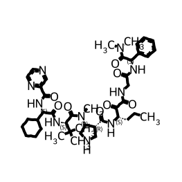 CCC[C@H](NC(=O)[C@@H]1CNC[C@@H]1N(C)C(=O)[C@@H](NC(=O)[C@@H](NC(=O)c1cnccn1)C1CCCCC1)C(C)(C)C)C(=O)C(=O)NCC(=O)N[C@H](C(=O)N(C)C)c1ccccc1